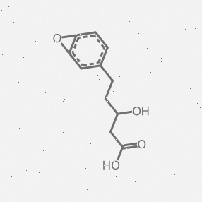 O=C(O)CC(O)CCc1ccc2c(c1)O2